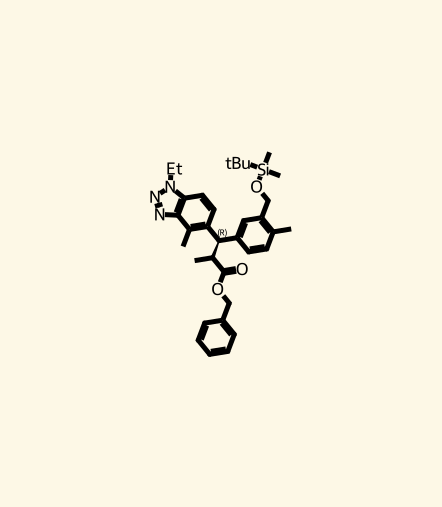 CCn1nnc2c(C)c([C@@H](c3ccc(C)c(CO[Si](C)(C)C(C)(C)C)c3)C(C)C(=O)OCc3ccccc3)ccc21